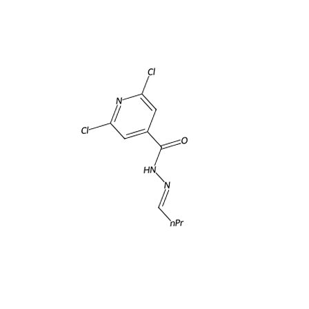 CCCC=NNC(=O)c1cc(Cl)nc(Cl)c1